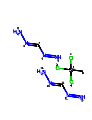 C[Si](Cl)(Cl)Cl.N=NC=NN.N=NC=NN